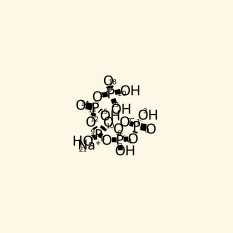 O=P([O-])(O)OP(=O)(O)OP(=O)(O)OP(=O)(O)OP(=O)(O)O.[Na+]